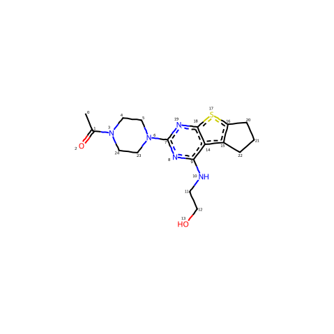 CC(=O)N1CCN(c2nc(NCCO)c3c4c(sc3n2)CCC4)CC1